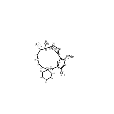 CNc1cc(C(F)(F)F)c2nc1-c1nnc(o1)[C@@](O)(C(F)(F)F)CCCCCC1(CCOCC1)N2